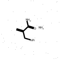 C=C(CCCC)C(N)=O.N